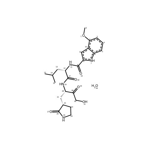 COc1cccc2[nH]c(C(=O)N[C@@H](CC(C)C)C(=O)N[C@@H](C[C@@H]3CCNC3=O)C(=O)CO)cc12.O